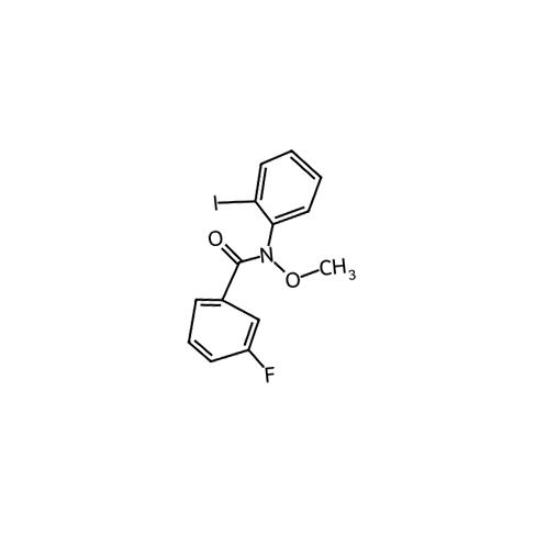 CON(C(=O)c1cccc(F)c1)c1ccccc1I